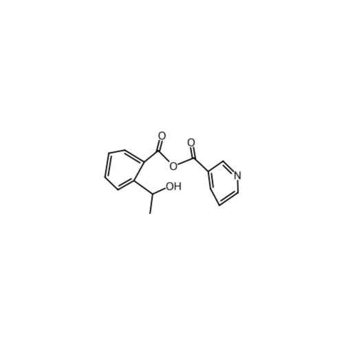 CC(O)c1ccccc1C(=O)OC(=O)c1cccnc1